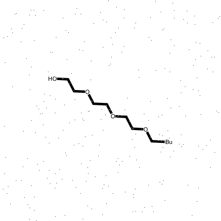 [CH2]CC(C)COCCOCCOCCO